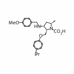 COc1ccc(CN[C@H]2C[C@@H](C)N(C(=O)O)[C@H]2COc2ccc(C(C)C)cc2)cc1